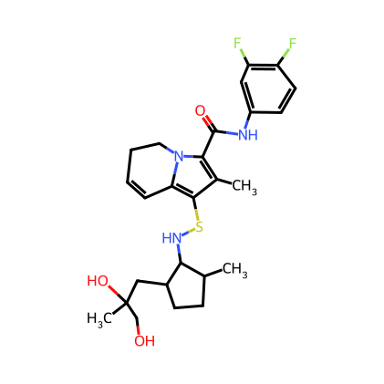 Cc1c(SNC2C(C)CCC2CC(C)(O)CO)c2n(c1C(=O)Nc1ccc(F)c(F)c1)CCC=C2